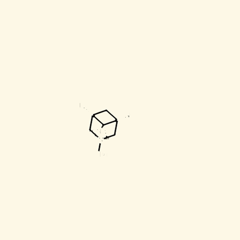 CC(C)(C)N1C[C@H]2C[C@@H](C1)[C@H]2N